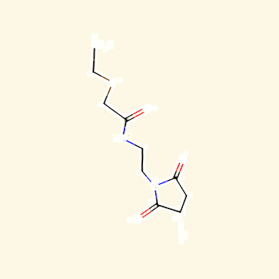 CC[C@H]1CC(=O)N(CCNC(=O)CSCC(=O)O)C1=O